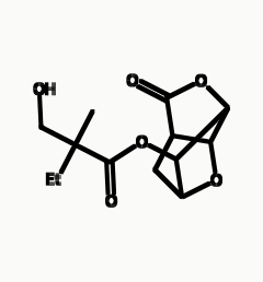 CCC(C)(CO)C(=O)OC1C2CC3C(=O)OC1C3O2